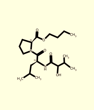 CCCCOC(=O)[C@@H]1CCCN1C(=O)[C@H](CC(C)C)NC(=O)C(O)C(C)C